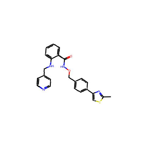 Cc1nc(-c2ccc(CONC(=O)c3ccccc3NCc3ccncc3)cc2)cs1